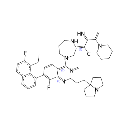 C=N/C(=C1/C=CC(c2cccc3ccc(F)c(CC)c23)=C(F)/C1=N/CCCC12CCCN1CCC2)N1CCCN/C(=C(/Cl)C(=N)C(=C)N2CCCCC2)C1